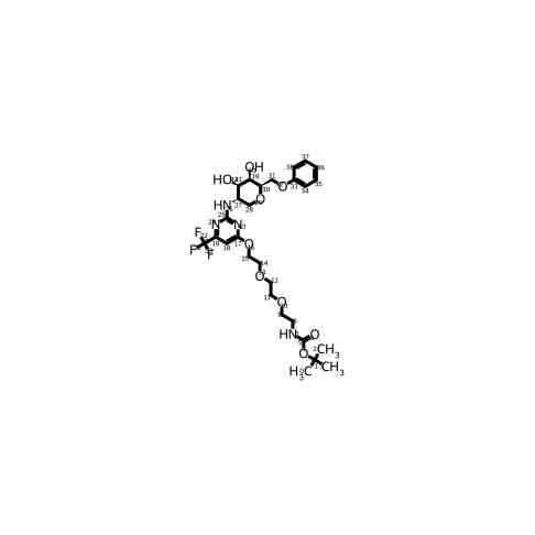 CC(C)(C)OC(=O)NCCOCCOCCOc1cc(C(F)(F)F)nc(N[C@H]2CO[C@H](COc3ccccc3)[C@H](O)[C@@H]2O)n1